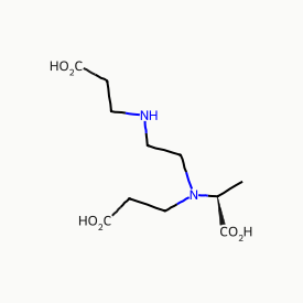 C[C@@H](C(=O)O)N(CCNCCC(=O)O)CCC(=O)O